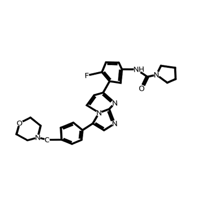 O=C(Nc1ccc(F)c(-c2ccn3c(-c4ccc(CN5CCOCC5)cc4)cnc3n2)c1)N1CCCC1